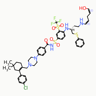 CC1(C)CCC(CN2CCN(c3ccc(C(=O)NS(=O)(=O)c4ccc(N[C@H](CCN/C=C\C/C=C\O)CSc5ccccc5)c(S(=O)(=O)C(F)(F)F)c4)cc3)CC2)=C(c2ccc(Cl)cc2)C1